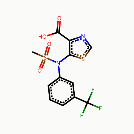 CS(=O)(=O)N(c1cccc(C(F)(F)F)c1)c1scnc1C(=O)O